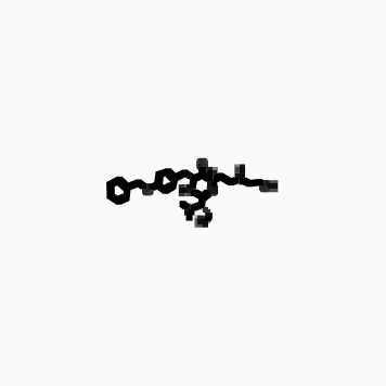 CC(C)C[C@@H](C(=O)N[C@@H](Cc1ccc(OCc2ccccc2)cc1)C(=O)NCCNCCO)N(C)C